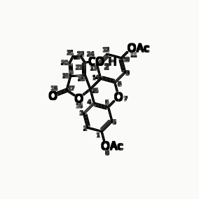 CC(=O)Oc1ccc2c(c1)Oc1cc(OC(C)=O)ccc1C21OC(=O)c2cccc(C(=O)O)c21